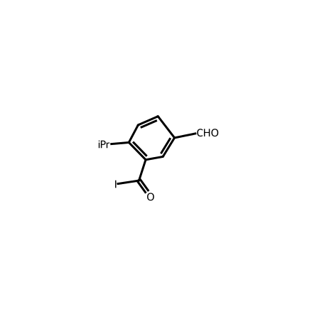 CC(C)c1ccc(C=O)cc1C(=O)I